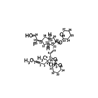 CC#CCC(C)(C)[C@@H](C=C[C@@H]1[C@H]2CC(=C(F)CO)C[C@H]2C[C@H]1OC1CCCCO1)OC1CCCCO1